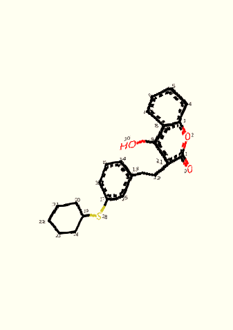 O=c1oc2ccccc2c(O)c1Cc1cccc(SC2CCCCC2)c1